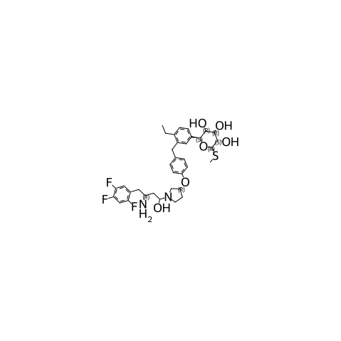 CCc1ccc([C@@H]2O[C@H](SC)[C@@H](O)[C@H](O)[C@H]2O)cc1Cc1ccc(O[C@@H]2CCN(C(O)C[C@H](N)Cc3cc(F)c(F)cc3F)C2)cc1